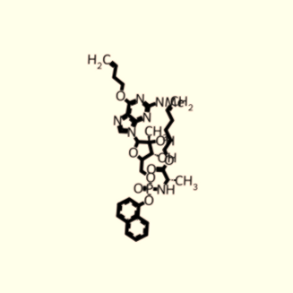 C=CCCCCOC(=O)[C@H](C)NP(=O)(OCC1OC(n2cnc3c(OCCC=C)nc(NC)nc32)[C@](C)(O)[C@@H]1O)Oc1cccc2ccccc12